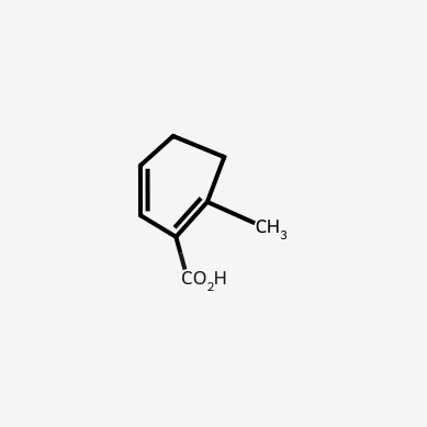 CC1=C(C(=O)O)C=CCC1